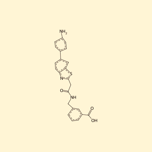 Nc1ccc(-c2ccc3nc(CC(=O)NCc4cccc(C(=O)O)c4)sc3c2)cc1